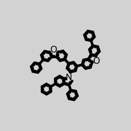 c1ccc(-c2ccc3c(c2)c(-c2ccccc2)cn3-c2cc(-c3ccc4oc5ccc(-c6ccccc6)cc5c4c3)cc(-c3ccc4oc5ccc(-c6ccccc6)cc5c4c3)c2)cc1